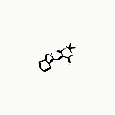 CC1(C)OC(=O)C(=Cc2occ3ccccc23)C(=O)O1